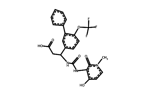 Cn1ccc(O)c(NC(=O)NC(CC(=O)O)c2ccc(OC(F)(F)F)c(-c3ccccc3)c2)c1=O